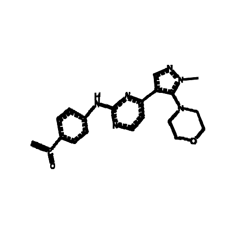 C=P(=O)c1ccc(Nc2nccc(-c3cnn(C)c3N3CCOCC3)n2)cc1